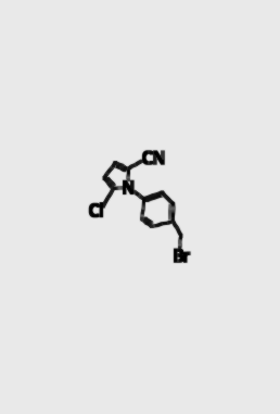 N#Cc1ccc(Cl)n1-c1ccc(CBr)cc1